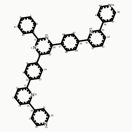 c1ccc(-c2nc(-c3ccc(-c4cccc(-c5ccncc5)n4)cc3)cc(-c3ccc(-c4cccc(-c5ccncc5)n4)cc3)n2)cc1